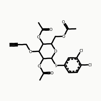 C#CCOC1C(OC(C)=O)C(COC(C)=O)OC(Sc2ccc(Cl)c(Cl)c2)C1OC(C)=O